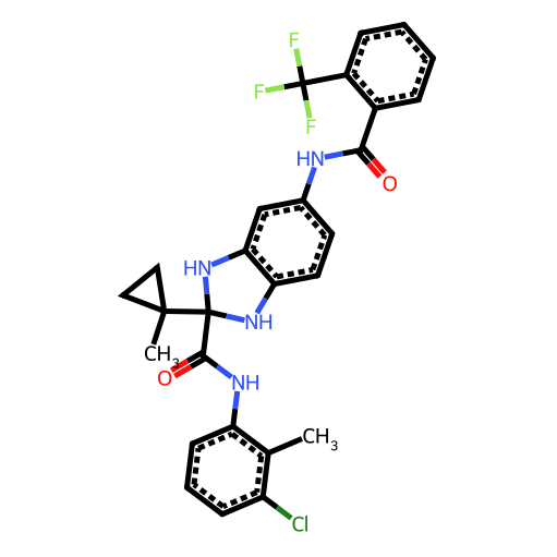 Cc1c(Cl)cccc1NC(=O)C1(C2(C)CC2)Nc2ccc(NC(=O)c3ccccc3C(F)(F)F)cc2N1